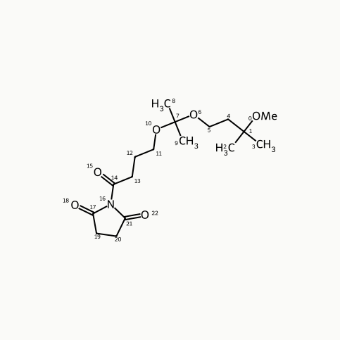 COC(C)(C)CCOC(C)(C)OCCCC(=O)N1C(=O)CCC1=O